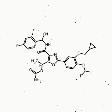 C[C@H](OC(N)=O)c1oc(-c2ccc(OC(F)F)c(OCC3CC3)c2)nc1C(=O)NC(C#N)c1ccc(F)cc1F